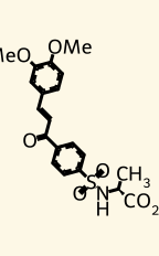 COc1ccc(/C=C/C(=O)c2ccc(S(=O)(=O)N[C@@H](C)C(=O)O)cc2)cc1OC